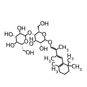 CC1=C(/C=C(C)/C(C)=C/OC2O[C@H](CO)[C@@H](OC3O[C@H](CO)[C@@H](O)[C@H](O)[C@H]3O)[C@H](O)[C@H]2O)C(C)(C)CCC1